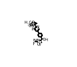 CS(=O)(=O)NC1(c2ccc(-c3ccc([C@@H](O)[C@@H](CF)NC(=O)C(F)F)cc3)cn2)CC1